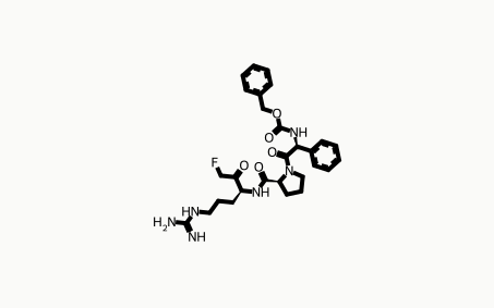 N=C(N)NCCC[C@H](NC(=O)[C@@H]1CCCN1C(=O)[C@@H](NC(=O)OCc1ccccc1)c1ccccc1)C(=O)CF